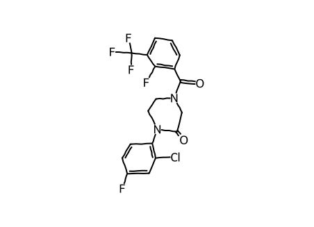 O=C(c1cccc(C(F)(F)F)c1F)N1CCN(c2ccc(F)cc2Cl)C(=O)C1